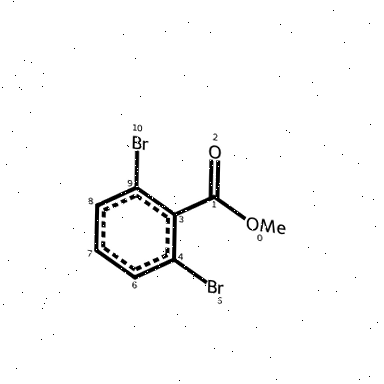 COC(=O)c1c(Br)cccc1Br